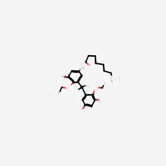 CCCCC1CCCO1.CCOc1c(Br)cc(Br)cc1C(C)(C)c1cc(Br)cc(Br)c1OCC